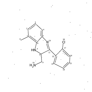 Cc1cccc2c1NC(CN)C(c1ccccc1Cl)=N2